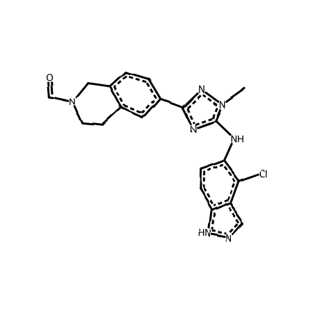 Cn1nc(-c2ccc3c(c2)CCN(C=O)C3)nc1Nc1ccc2[nH]ncc2c1Cl